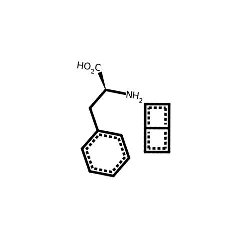 N[C@@H](Cc1ccccc1)C(=O)O.c1cc2ccc1-2